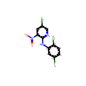 O=[N+]([O-])c1cc(Br)cnc1Nc1cc(F)ccc1Cl